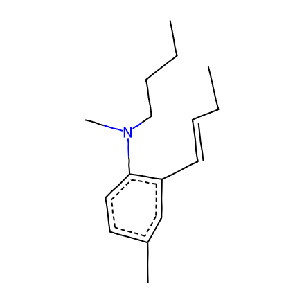 CC/C=C/c1cc(C)ccc1N(C)CCCC